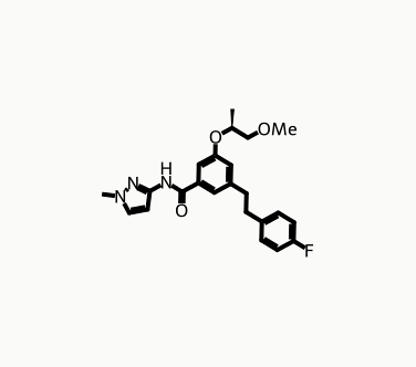 COC[C@H](C)Oc1cc(CCc2ccc(F)cc2)cc(C(=O)Nc2ccn(C)n2)c1